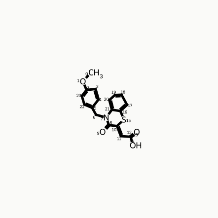 COc1ccc(CN2C(=O)C(=CC(=O)O)Sc3ccccc32)cc1